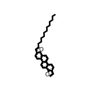 CCCCCCCCCCCCc1cc2ccc3c4ccc5c(ccc6ccoc65)c4ccc3c2o1